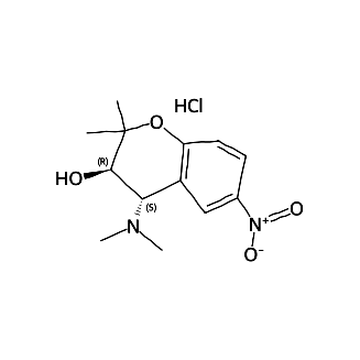 CN(C)[C@H]1c2cc([N+](=O)[O-])ccc2OC(C)(C)[C@@H]1O.Cl